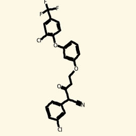 N#CC(C(=O)CCOc1cccc(Oc2ccc(C(F)(F)F)cc2Cl)c1)c1cccc(Cl)c1